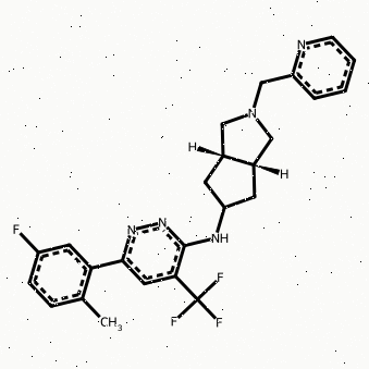 Cc1ccc(F)cc1-c1cc(C(F)(F)F)c(NC2C[C@@H]3CN(Cc4ccccn4)C[C@@H]3C2)nn1